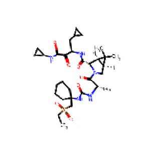 CC(C)(C)[C@H](NC(=O)NC1(CS(=O)(=O)CC(F)(F)F)CCCCC1)C(=O)N1C[C@H]2[C@@H]([C@H]1C(=O)NC(CC1CC1)C(=O)C(=O)NC1CC1)C2(C)C